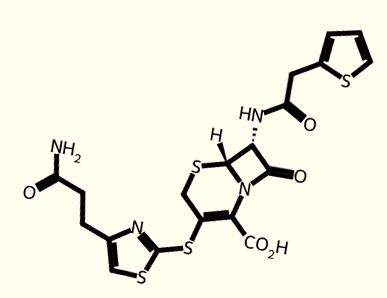 NC(=O)CCc1csc(SC2=C(C(=O)O)N3C(=O)[C@@H](NC(=O)Cc4cccs4)[C@H]3SC2)n1